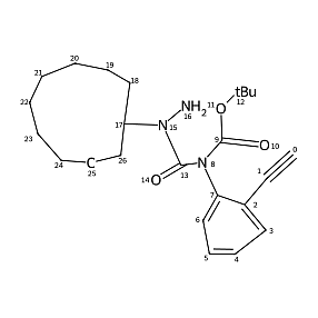 C#Cc1ccccc1N(C(=O)OC(C)(C)C)C(=O)N(N)C1CCCCCCCCC1